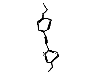 CCCc1ccc(C#Cc2ncc(CC)cn2)cc1